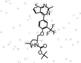 Cc1nc(-c2ccc(OC[C@](C)(CC(C)C)NC(=O)OC(C)(C)C)c(C(F)(F)F)c2)c2ccsc2n1